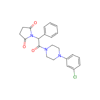 O=C(C(c1ccccc1)N1C(=O)CCC1=O)N1CCN(c2cccc(Cl)c2)CC1